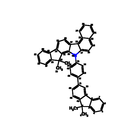 CC1(C)c2ccccc2-c2cc(-c3ccc(-n4c5ccc6ccccc6c5c5ccc6c(c54)C(C)(C)c4ccccc4-6)cc3)ccc21